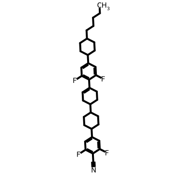 CCCCCC1CCC(c2cc(F)c(C3=CCC(C4CCC(c5cc(F)c(C#N)c(F)c5)CC4)CC3)c(F)c2)CC1